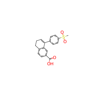 CS(=O)(=O)c1ccc(C2=CCCc3ccc(C(=O)O)cc32)cc1